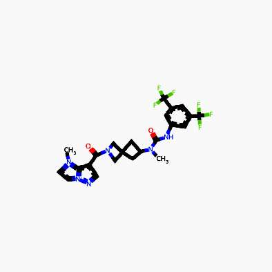 CN(C(=O)Nc1cc(C(F)(F)F)cc(C(F)(F)F)c1)C1CC2(C1)CN(C(=O)c1cnn3ccn(C)c13)C2